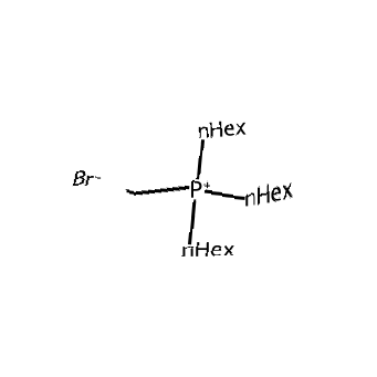 CCCCCC[P+](C)(CCCCCC)CCCCCC.[Br-]